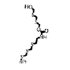 CCCSCSCSCCNC(=O)OCSCSCO